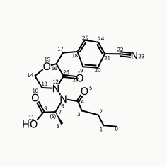 CCCCC(=O)N([C@@H](C)C(=O)O)N1CCOC(Cc2ccc(C#N)cc2)C1=O